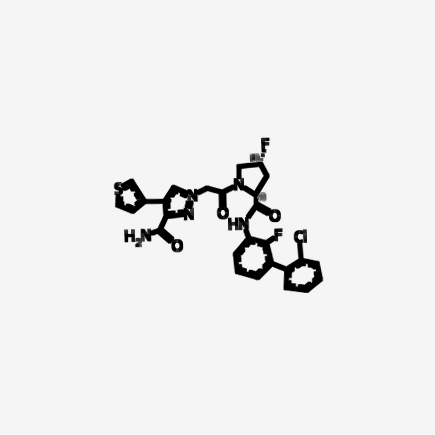 NC(=O)c1nn(CC(=O)N2C[C@H](F)C[C@H]2C(=O)Nc2cccc(-c3ccccc3Cl)c2F)cc1-c1ccsc1